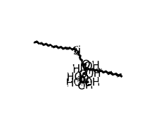 CCCCCCCCCCCCCCCCCC[Si](C)(C)CCCCCCC(=O)N[C@@H](CO[C@H]1O[C@H](CO)[C@H](O)[C@H](O)[C@H]1O)[C@H](O)[C@H](O)CCCCCCCCCCCCCC